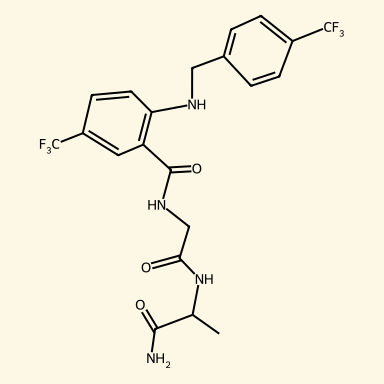 CC(NC(=O)CNC(=O)c1cc(C(F)(F)F)ccc1NCc1ccc(C(F)(F)F)cc1)C(N)=O